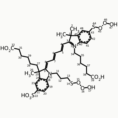 CC1(C)C(/C=C/C=C/C=C2\N(CCCSOOO)c3ccc(S(=O)(=O)O)cc3C2(C)CCCCCC(=O)O)=[N+](CCCCCC(=O)O)c2ccc(SOOO)cc21